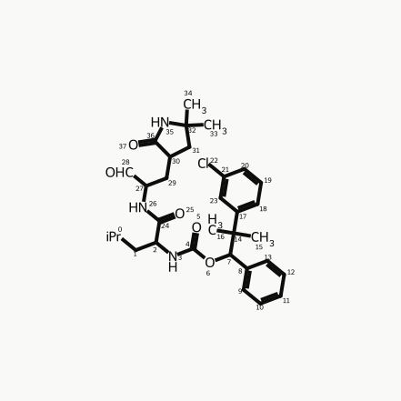 CC(C)CC(NC(=O)OC(c1ccccc1)C(C)(C)c1cccc(Cl)c1)C(=O)NC(C=O)CC1CC(C)(C)NC1=O